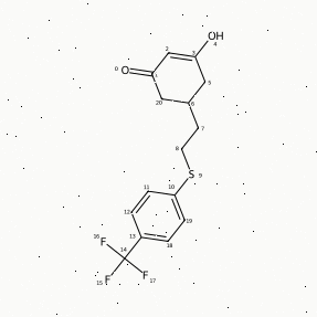 O=C1C=C(O)CC(CCSc2ccc(C(F)(F)F)cc2)C1